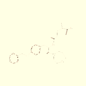 CC(C[CH]C(=O)NC(Cc1ccc(OCc2ccccc2)cc1)C(=O)N1CCCNCC1)C(N)=O